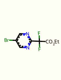 CCOC(=O)C(F)(F)c1ncc(Br)cn1